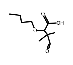 CCCCOC(C(=O)O)C(C)(C)C=O